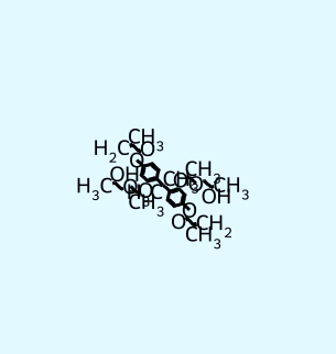 C=C(C)C(=O)Oc1ccc(C(C)(C)c2ccc(OC(=O)C(=C)C)cc2OC(C)OCC(C)O)c(OC(C)OCC(C)O)c1